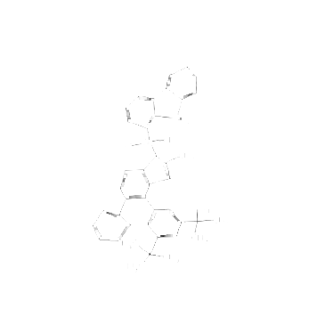 CC1=Cc2c(ccc(-c3ccccc3)c2-c2cc(C(C)(C)C)cc(C(C)(C)C)c2)[CH]1[Zr]([Cl])([Cl])[c]1cccc2c1[SiH2]c1ccccc1-2